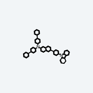 C1=Cc2c(c3ccccc3n2-c2ccc(-c3ccc4cc(N(c5ccc(-c6ccccc6)cc5)c5ccc(-c6ccccc6)cc5)ccc4c3)cc2)CC1